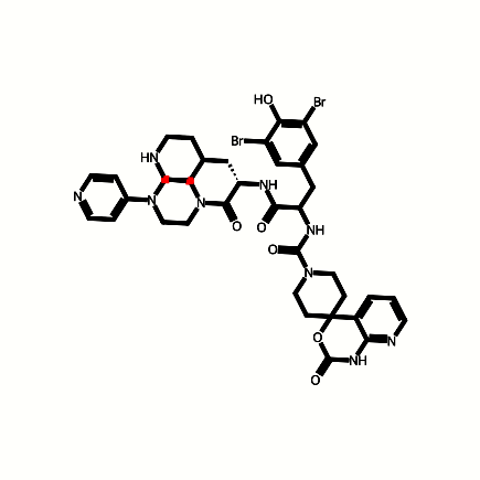 O=C1Nc2ncccc2C2(CCN(C(=O)NC(Cc3cc(Br)c(O)c(Br)c3)C(=O)N[C@@H](CC3CCNCC3)C(=O)N3CCN(c4ccncc4)CC3)CC2)O1